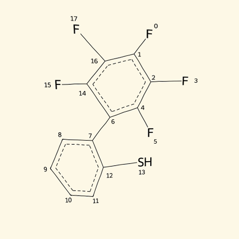 Fc1c(F)c(F)c(-c2ccccc2S)c(F)c1F